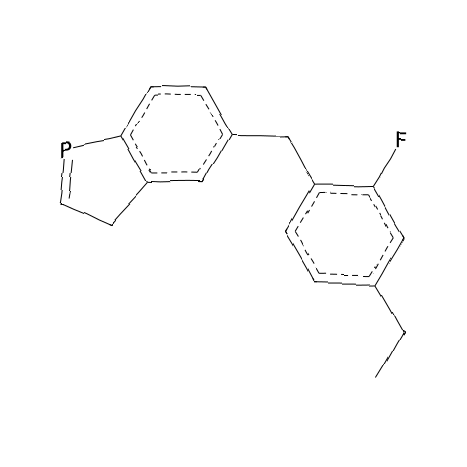 CCc1ccc(Cc2ccc3c(c2)CC=P3)c(F)c1